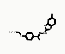 C/C(=N\Nc1nc2ccc(C)cc2s1)c1ccc(OCC(=O)O)cc1